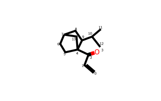 C=CC(=O)C12CCC(CC1C(C)C)C2